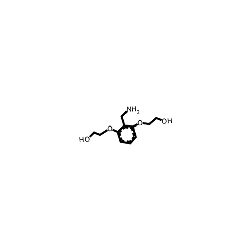 NCc1c(OCCO)cccc1OCCO